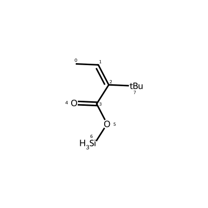 CC=C(C(=O)O[SiH3])C(C)(C)C